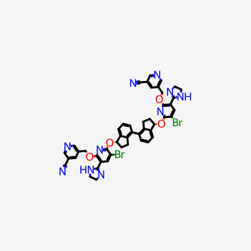 N#Cc1cncc(COc2nc(O[C@H]3CCc4c(-c5cccc6c5CC[C@@H]6Oc5nc(OCc6cncc(C#N)c6)c(C6=NCCN6)cc5Br)cccc43)c(Br)cc2C2=NCCN2)c1